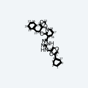 C1=CCCC(C2=COC=C(Nc3nnc(-c4cccnc4OC(Cc4ccccc4)C4=COCO4)[nH]3)O2)=C1